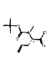 C=CC[C@@H](C(=O)O)N(C)C(=O)OC(C)(C)C